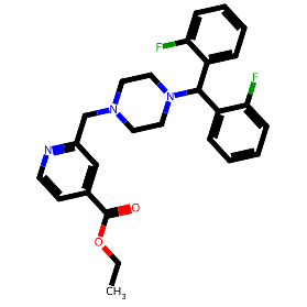 CCOC(=O)c1ccnc(CN2CCN(C(c3ccccc3F)c3ccccc3F)CC2)c1